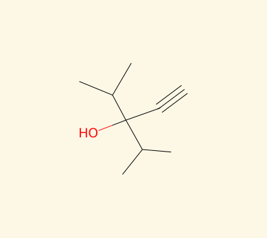 C#CC(O)(C(C)C)C(C)C